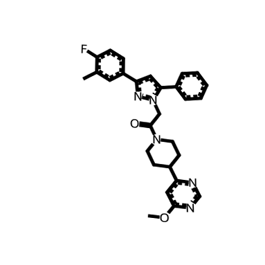 COc1cc(C2CCN(C(=O)Cn3nc(-c4ccc(F)c(C)c4)cc3-c3ccccc3)CC2)ncn1